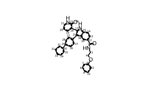 O=C(NCCOc1ccccc1)c1ccc2[nH]c(-c3ccc[nH]c3=O)c(-c3ccc(-c4ccccc4)cc3)c2c1